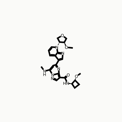 CNc1cc(-c2cnc3n([C@@H]4COC[C@H]4OC)cccc2-3)nc2c(C(=O)N[C@@H]3CC[C@H]3OC)cnn12